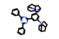 c1ccc(-c2nc(-c3ccccc3)nc(-c3cc(N4C5CC6CC(C5)CC4C6)cc(N4C5CCC6CC4CC6C5)c3)n2)cc1